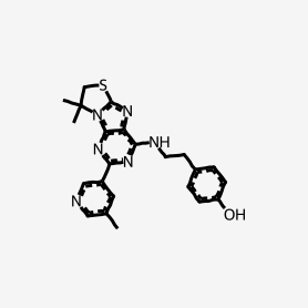 Cc1cncc(-c2nc(NCCc3ccc(O)cc3)c3nc4n(c3n2)C(C)(C)CS4)c1